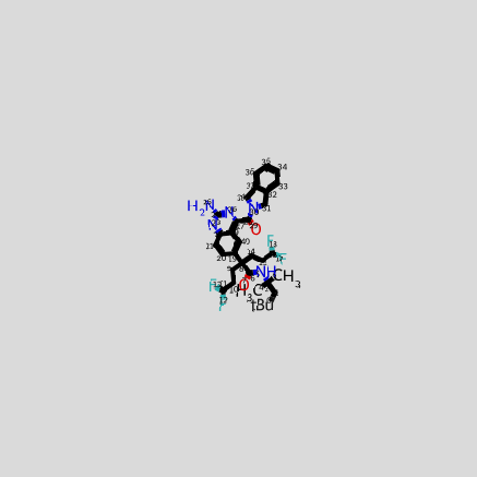 CC(C)(C)CC(C)(C)NC(=O)C(CCC(F)F)(CCC(F)F)c1ccc2nc(N)nc(C(=O)N3Cc4ccccc4C3)c2c1